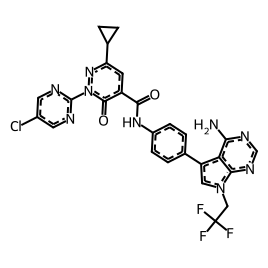 Nc1ncnc2c1c(-c1ccc(NC(=O)c3cc(C4CC4)nn(-c4ncc(Cl)cn4)c3=O)cc1)cn2CC(F)(F)F